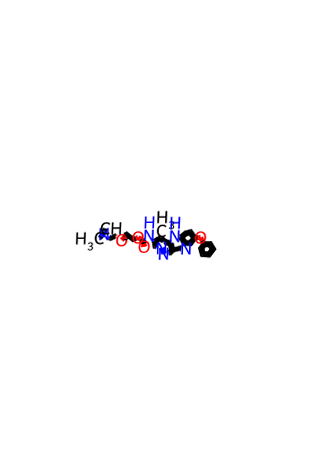 Cc1c(NC(=O)OCCOCCN(C)C)cn2ncc(C#N)c(Nc3ccc(Oc4ccccc4)cc3)c12